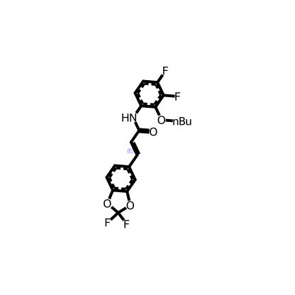 CCCCOc1c(NC(=O)/C=C/c2ccc3c(c2)OC(F)(F)O3)ccc(F)c1F